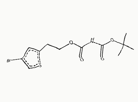 CC(C)(C)OC(=O)NC(=O)OCCc1cc(Br)cs1